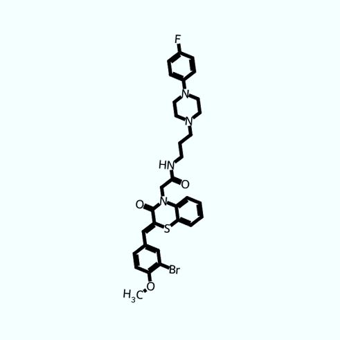 COc1ccc(C=C2Sc3ccccc3N(CC(=O)NCCCN3CCN(c4ccc(F)cc4)CC3)C2=O)cc1Br